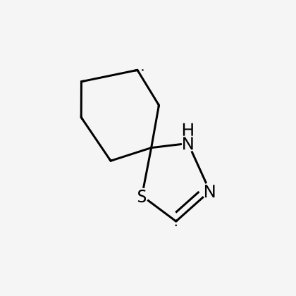 [C]1=NNC2(C[CH]CCC2)S1